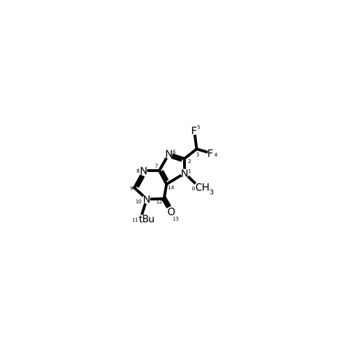 Cn1c(C(F)F)nc2ncn(C(C)(C)C)c(=O)c21